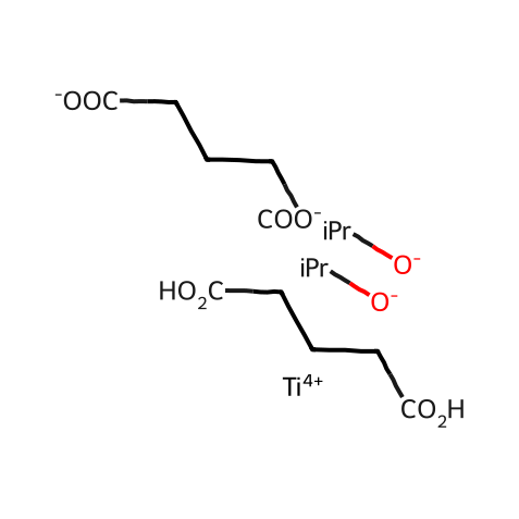 CC(C)[O-].CC(C)[O-].O=C(O)CCCC(=O)O.O=C([O-])CCCC(=O)[O-].[Ti+4]